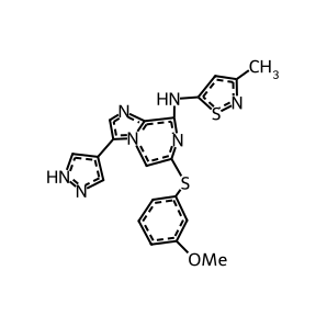 COc1cccc(Sc2cn3c(-c4cn[nH]c4)cnc3c(Nc3cc(C)ns3)n2)c1